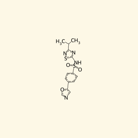 CC(C)c1nsc(NS(=O)(=O)c2ccc(-c3cnco3)cc2)n1